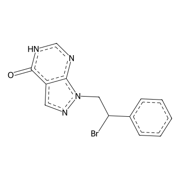 O=c1[nH]cnc2c1cnn2CC(Br)c1ccccc1